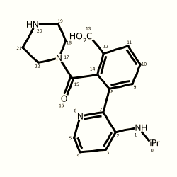 CC(C)Nc1cccnc1-c1cccc(C(=O)O)c1C(=O)N1CCNCC1